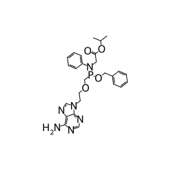 CC(C)OC(=O)CN(c1ccccc1)P(COCCn1cnc2c(N)ncnc21)OCc1ccccc1